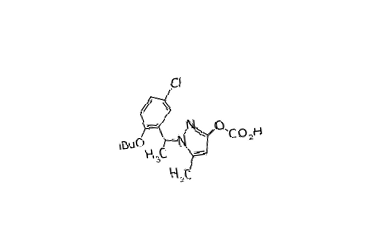 Cc1cc(OC(=O)O)nn1C(C)c1cc(Cl)ccc1OCC(C)C